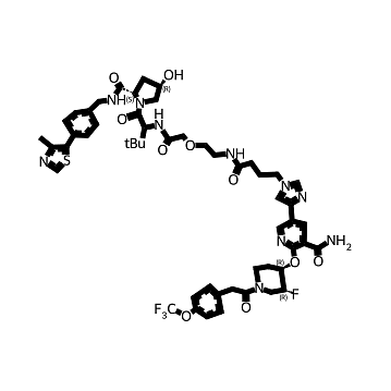 Cc1ncsc1-c1ccc(CNC(=O)[C@@H]2C[C@@H](O)CN2C(=O)C(NC(=O)COCCNC(=O)CCCn2cnc(-c3cnc(O[C@@H]4CCN(C(=O)Cc5ccc(OC(F)(F)F)cc5)C[C@H]4F)c(C(N)=O)c3)c2)C(C)(C)C)cc1